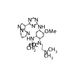 C=CC(=O)Nc1cc(Nc2ncnc(-c3cnn4cccnc34)n2)c(OC)cc1N(C)CCN(C)C